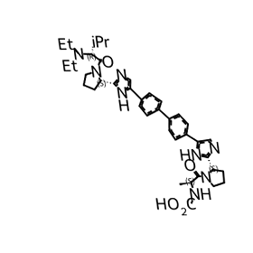 CCN(CC)[C@@H](C(=O)N1CCC[C@H]1c1ncc(-c2ccc(-c3ccc(-c4cnc([C@@H]5CCCN5C(=O)[C@H](C)NC(=O)O)[nH]4)cc3)cc2)[nH]1)C(C)C